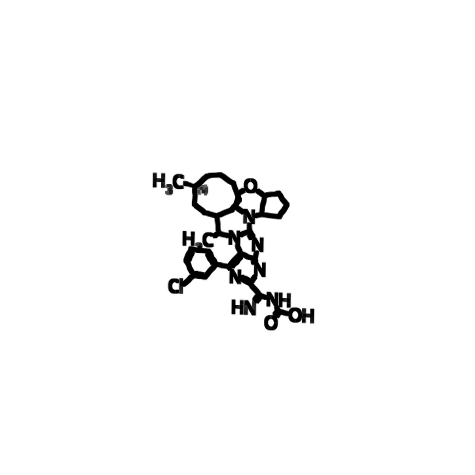 CC(C1CCCCC[C@H](C)CC1)n1c(N2CCOC3CCCC32)nc2nc(C(=N)NC(=O)O)nc(-c3cccc(Cl)c3)c21